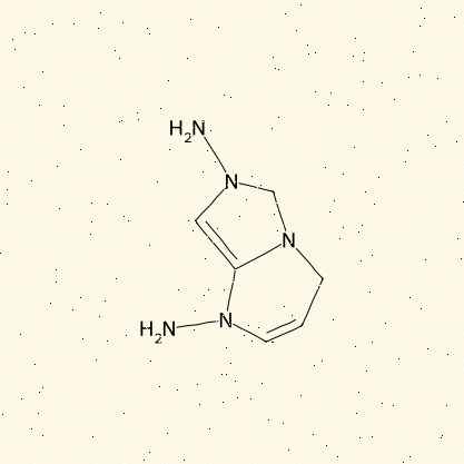 NN1C=C2N(N)C=CCN2C1